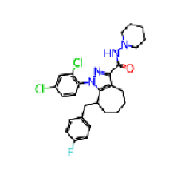 O=C(NN1CCCCC1)c1nn(-c2ccc(Cl)cc2Cl)c2c1CCCCC2Cc1ccc(F)cc1